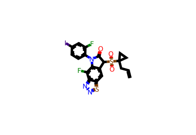 C=CCC1(S(=O)(=O)C2C(=O)N(c3ccc(I)cc3F)c3c2cc2snnc2c3F)CC1